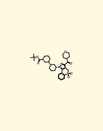 CC(C)(C)OC(=O)N1CCCC(N2CCC[C@H](n3nc(C(=O)N4CCOCC4)c4c3-c3ccccc3S(=O)(=O)C4)C2)C1